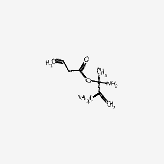 C=CCC(=O)OC(C)(N)C(=C)C